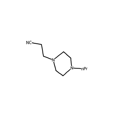 [CH2]CCN1CCN(CCC#N)CC1